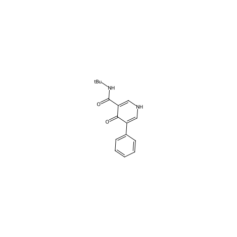 CC(C)(C)NC(=O)c1c[nH]cc(-c2ccccc2)c1=O